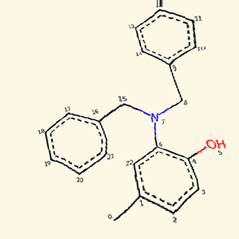 Cc1ccc(O)c(N(Cc2ccccc2)Cc2ccccc2)c1